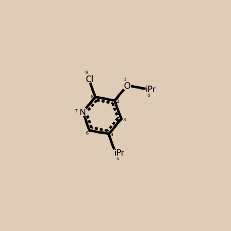 CC(C)Oc1cc(C(C)C)cnc1Cl